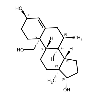 C[C@@H]1CC2=C[C@H](O)CC[C@]2(CO)[C@H]2CC[C@]3(C)[C@@H](O)CC[C@H]3[C@H]12